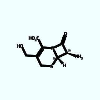 N[C@@H]1C(=O)N2C(C(=O)O)=C(CO)CS[C@@H]12